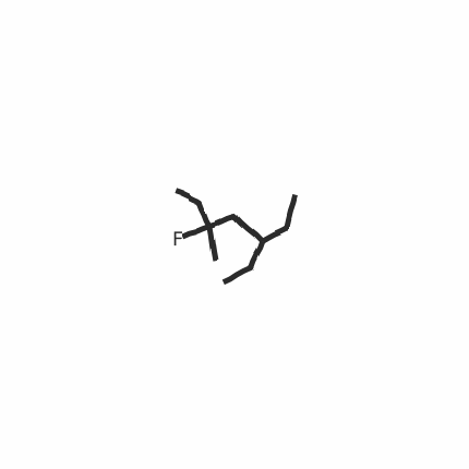 CCC(CC)CC(C)(F)CC